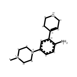 CN1CCN(c2ccc(N)c(C3=CCOCC3)c2)CC1